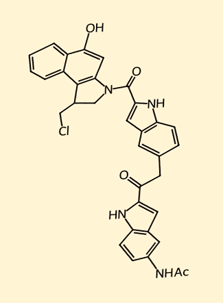 CC(=O)Nc1ccc2[nH]c(C(=O)Cc3ccc4[nH]c(C(=O)N5CC(CCl)c6c5cc(O)c5ccccc65)cc4c3)cc2c1